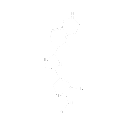 CC1=C2CCNCC2=CCC1C1N=C(c2cnc(NC(C)C)c(C#N)c2)ON1